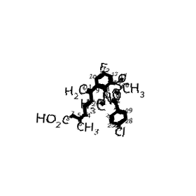 C=C(CCCC(C)CC(=O)O)c1cc(F)cc(S(C)(=O)=O)c1N(C)Cc1ccc(Cl)cc1